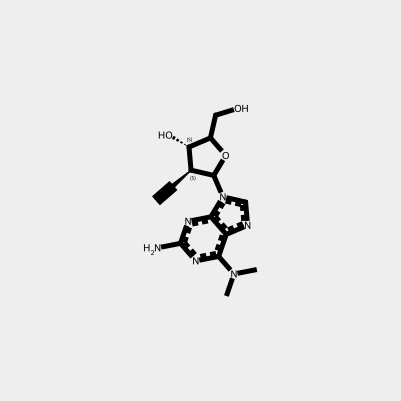 C#C[C@@H]1C(n2cnc3c(N(C)C)nc(N)nc32)OC(CO)[C@H]1O